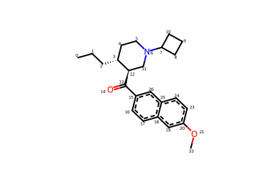 CCC[C@@H]1CCN(C2CCC2)C[C@H]1C(=O)c1ccc2cc(OC)ccc2c1